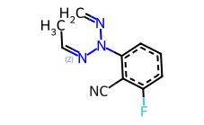 C=NN(/N=C\C)c1cccc(F)c1C#N